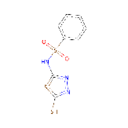 O=S(=O)(Nc1nnc(S)s1)c1ccccc1